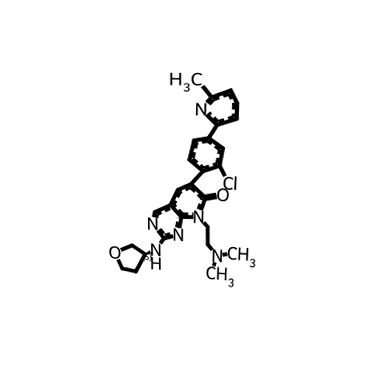 Cc1cccc(-c2ccc(-c3cc4cnc(N[C@H]5CCOC5)nc4n(CCN(C)C)c3=O)c(Cl)c2)n1